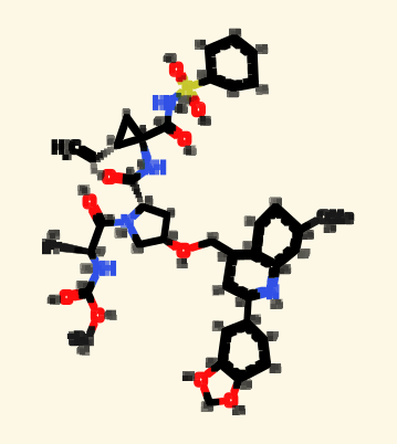 C=C[C@@H]1C[C@]1(NC(=O)[C@@H]1C[C@@H](OCc2cc(-c3ccc4c(c3)OCO4)nc3cc(OC)ccc23)CN1C(=O)[C@@H](NC(=O)OC(C)(C)C)C(C)C)C(=O)NS(=O)(=O)c1ccccc1